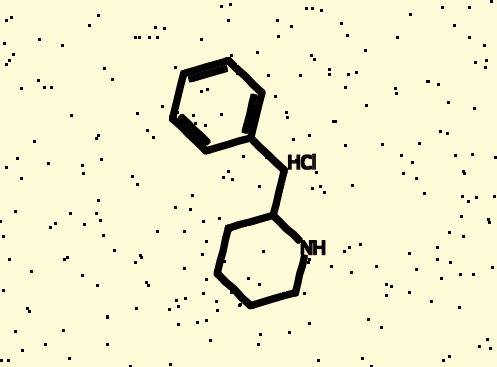 Cl.c1ccc(CC2CCCCN2)cc1